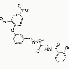 O=Nc1cc([N+](=O)[O-])ccc1Oc1cccc(/C=N/NC(=O)CNC(=O)c2ccccc2Br)c1